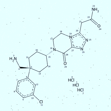 Cl.Cl.Cl.NC[C@]1(c2cccc(Cl)c2)CC[C@@H](N2CCn3c(CC(N)=O)nnc3C2=O)CC1